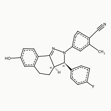 Cc1cc(N2N=C3c4ccc(O)cc4CC[C@@H]3[C@@H]2c2ccc(F)cc2)ccc1C#N